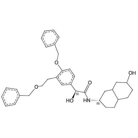 O=C(N[C@H]1CCC2CCC(O)CC2C1)[C@@H](O)c1ccc(OCc2ccccc2)c(CCOCc2ccccc2)c1